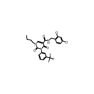 CCCCn1cc(C(=O)NCc2ccc(Cl)cc2Cl)c(=O)n(-c2cccc(C(F)(F)F)c2)c1=O